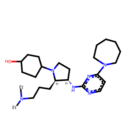 CCN(CC)CCC[C@@H]1[C@@H](Nc2nccc(N3CCCCCC3)n2)CCN1C1CCC(O)CC1